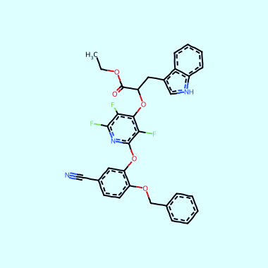 CCOC(=O)C(Cc1c[nH]c2ccccc12)Oc1c(F)c(F)nc(Oc2cc(C#N)ccc2OCc2ccccc2)c1F